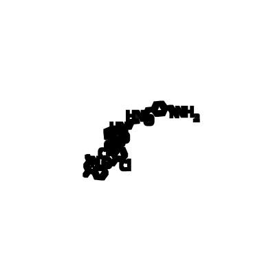 Cc1cc(C)c2cccc(OCc3c(Cl)ccc(S(=O)(=O)N4CCC[C@H]4C(=O)NCCCNC(=O)Cc4ccc(C=NN)cc4)c3Cl)c2n1